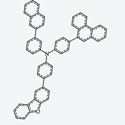 c1cc(-c2ccc3ccccc3c2)cc(N(c2ccc(-c3ccc4oc5ccccc5c4c3)cc2)c2ccc(-c3cc4ccccc4c4ccccc34)cc2)c1